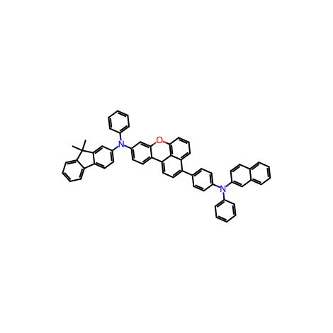 CC1(C)c2ccccc2-c2ccc(N(c3ccccc3)c3ccc4c(c3)Oc3cccc5c(-c6ccc(N(c7ccccc7)c7ccc8ccccc8c7)cc6)ccc-4c35)cc21